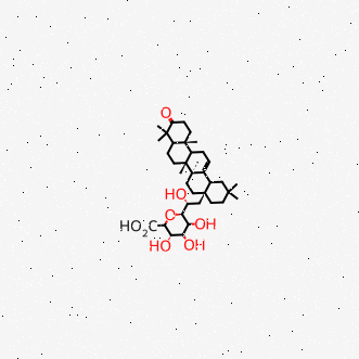 CC1(C)CC[C@]2(C[C@@H](O)[C@@H]3OC(C(=O)O)[C@@H](O)C(O)C3O)CC[C@]3(C)C(=CCC4[C@@]5(C)CCC(=O)C(C)(C)C5CC[C@]43C)C2C1